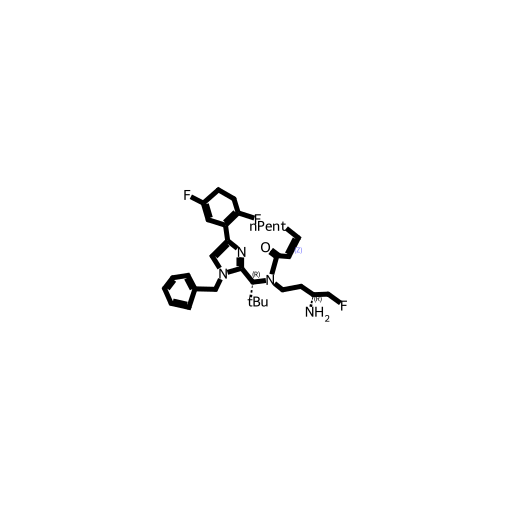 CCCCC/C=C\C(=O)N(CC[C@@H](N)CF)[C@@H](c1nc(C2=C(F)CCC(F)=C2)cn1Cc1ccccc1)C(C)(C)C